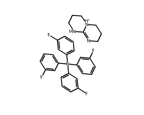 C1CN=C2NCCC[NH+]2C1.Fc1cccc([B-](c2cccc(F)c2)(c2cccc(F)c2)c2cccc(F)c2)c1